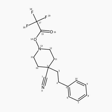 N#CC1(CCc2ccccc2)CCN(OC(=O)C(F)(F)F)CC1